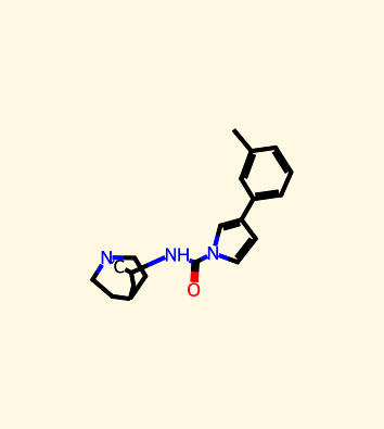 Cc1cccc(-c2ccn(C(=O)NC3CC4CCN(CC4)C3)c2)c1